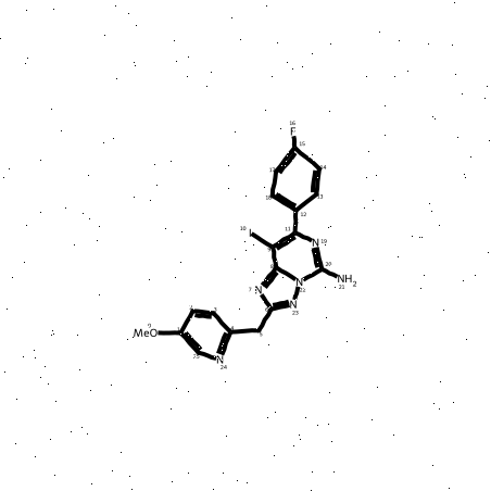 COc1ccc(Cc2nc3c(I)c(-c4ccc(F)cc4)nc(N)n3n2)nc1